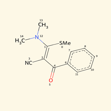 CSC(=C(C#N)C(=O)c1ccccc1)N(C)C